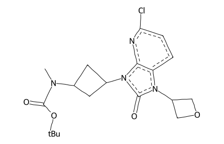 CN(C(=O)OC(C)(C)C)C1CC(n2c(=O)n(C3COC3)c3ccc(Cl)nc32)C1